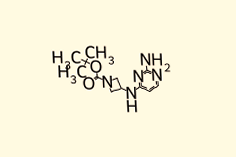 CC(C)(C)OC(=O)N1CC(Nc2ccnc(N)n2)C1